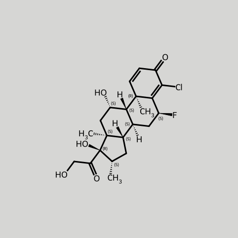 C[C@H]1C[C@H]2[C@@H]3C[C@H](F)C4=C(Cl)C(=O)C=C[C@]4(C)[C@H]3[C@@H](O)C[C@]2(C)[C@@]1(O)C(=O)CO